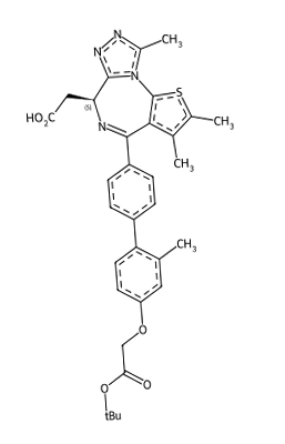 Cc1cc(OCC(=O)OC(C)(C)C)ccc1-c1ccc(C2=N[C@@H](CC(=O)O)c3nnc(C)n3-c3sc(C)c(C)c32)cc1